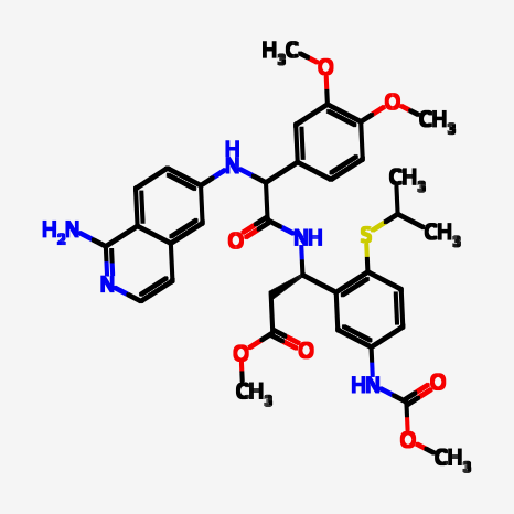 COC(=O)C[C@@H](NC(=O)C(Nc1ccc2c(N)nccc2c1)c1ccc(OC)c(OC)c1)c1cc(NC(=O)OC)ccc1SC(C)C